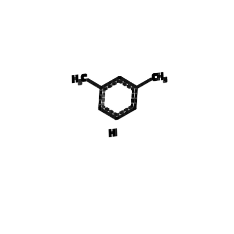 Cc1cccc(C)c1.I